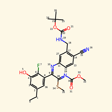 CCc1cc(O)c(F)c(C(=Nc2ccc(C#N)c(CNC(=O)OC(C)(C)C)c2)C(=NC(=O)OC)SC)c1